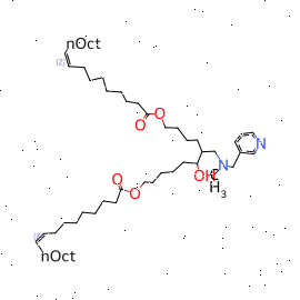 CCCCCCCC/C=C\CCCCCCCC(=O)OCCCCCC(O)C(CCCCOC(=O)CCCCCCC/C=C\CCCCCCCC)CN(C)Cc1cccnc1